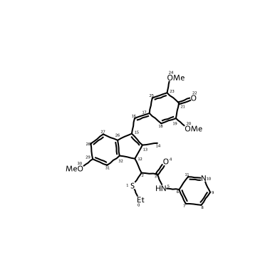 CCSC(C(=O)Nc1cccnc1)C1C(C)=C(C=C2C=C(OC)C(=O)C(OC)=C2)c2ccc(OC)cc21